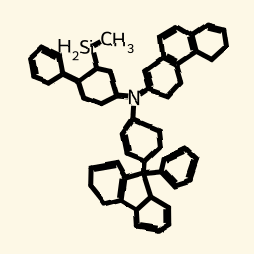 C[SiH2]C1CC(N(C2=Cc3ccc4c(c3CC2)CCC=C4)C2C=CC(C3(c4ccccc4)C4=C(CCC=C4)C4C=CC=CC43)CC2)CCC1C1C=CC=CC1